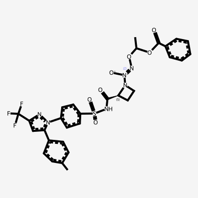 Cc1ccc(-c2cc(C(F)(F)F)nn2-c2ccc(S(=O)(=O)NC(=O)[C@@H]3CCN3/[N+]([O-])=N/OC(C)OC(=O)c3ccccc3)cc2)cc1